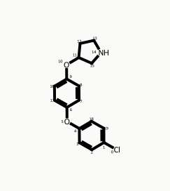 Clc1ccc(Oc2ccc(OC3CCNC3)cc2)cc1